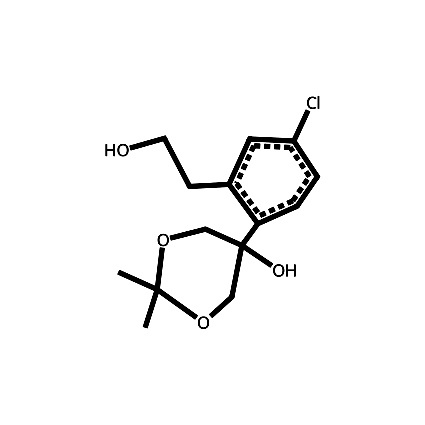 CC1(C)OCC(O)(c2ccc(Cl)cc2CCO)CO1